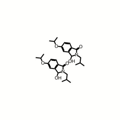 CC(C)CN1C(=O)c2ccc(OC(C)C)cc2C1O.CC(C)CN1C(=O)c2ccc(OC(C)C)cc2C1O